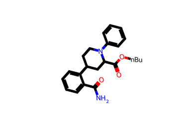 CCCCOC(=O)C1CC(c2ccccc2C(N)=O)CCN1c1ccccc1